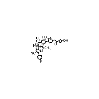 CC/C(C)=C1/C=CC(c2ccc(CC(=O)N3CC(O)C3)nc2C)=CN1/C(=C(\C)CC)N(C)c1nc(-c2ccc(F)cc2)c(C#N)s1